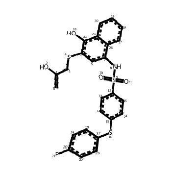 C=C(O)CSc1cc(NS(=O)(=O)c2ccc(Sc3ccc(F)cc3)cc2)c2ccccc2c1O